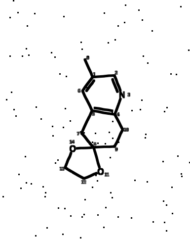 Cc1cnc2c(c1)CC1(CC2)OCCO1